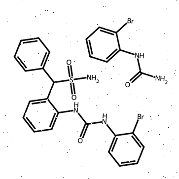 NC(=O)Nc1ccccc1Br.NS(=O)(=O)C(c1ccccc1)c1ccccc1NC(=O)Nc1ccccc1Br